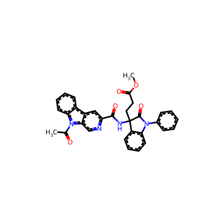 COC(=O)CCC1(NC(=O)c2cc3c4ccccc4n(C(C)=O)c3cn2)C(=O)N(c2ccccc2)c2ccccc21